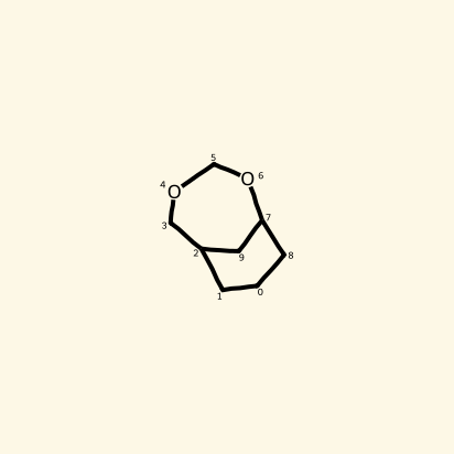 C1CC2COCOC(C1)C2